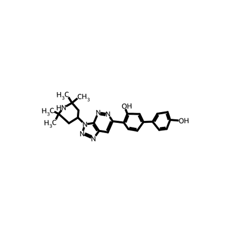 CC1(C)CC(n2nnc3cc(-c4ccc(-c5ccc(O)cc5)cc4O)nnc32)CC(C)(C)N1